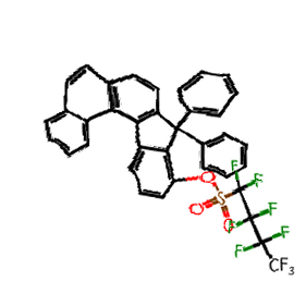 O=S(=O)(Oc1cccc2c1C(c1ccccc1)(c1ccccc1)c1ccc3ccc4ccccc4c3c1-2)C(F)(F)C(F)(F)C(F)(F)C(F)(F)F